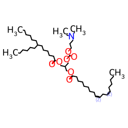 CCCCC/C=C\C/C=C\CCCCCCCC(=O)OCC(COC(=O)CCCCCC(CCCCCC)CCCCCC)COC(=O)OCCCN(CC)CC